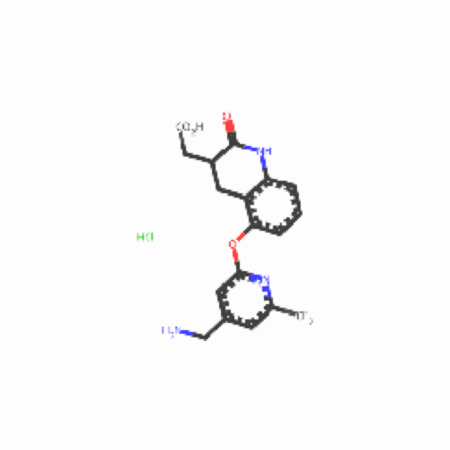 Cl.NCc1cc(Oc2cccc3c2CC(CC(=O)O)C(=O)N3)nc(C(F)(F)F)c1